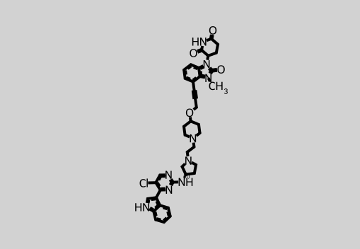 Cn1c(=O)n(C2CCC(=O)NC2=O)c2cccc(C#CCOC3CCN(CCN4CC[C@@H](Nc5ncc(Cl)c(-c6c[nH]c7ccccc67)n5)C4)CC3)c21